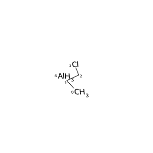 C[CH]CCl.[AlH3]